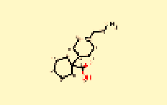 CCC[SiH]1CCC(C2(C(=O)O)CCCCC2)CC1